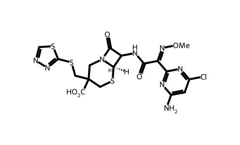 CON=C(C(=O)NC1C(=O)N2CC(CSc3nncs3)(C(=O)O)CS[C@H]12)c1nc(N)cc(Cl)n1